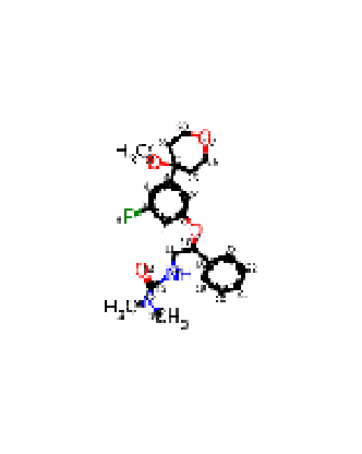 COC1(c2cc(F)cc(OC(CNC(=O)N(C)C)c3ccccc3)c2)CCOCC1